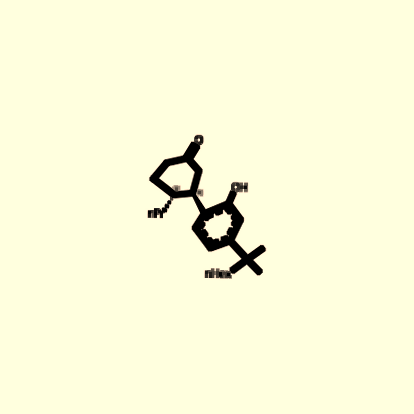 CCCCCCC(C)(C)c1ccc([C@@H]2CC(=O)CC[C@H]2CCC)c(O)c1